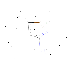 Cc1cc(N)ns1.Cl